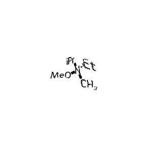 CC[N+](C)(OC)C(C)C